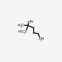 [CH2]CCC(C)(CCCO)S(=O)(=O)O